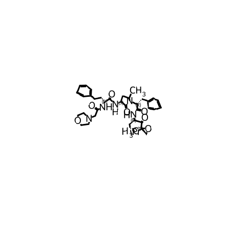 CC(C)C[C@@H](NC(=O)[C@@H](Cc1ccccc1)N1C(=O)[C@@H](NC(=O)[C@@H](CCc2ccccc2)NC(=O)CN2CCOCC2)CC1C)C(=O)[C@@]1(C)CO1